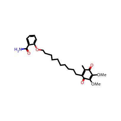 COC1=C(OC)C(=O)C(CCCCCCCCCCOc2ccccc2C(N)=O)=C(C)C1=O